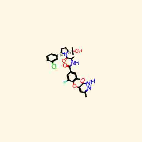 Cc1cc(Oc2c(C)cc(C(=O)NC(C)C(=O)N3[C@H](c4cccc(Cl)c4)CC[C@@H]3C(C)(C)O)cc2F)c(=O)[nH]n1